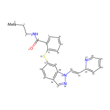 CNCCNC(=O)c1ccccc1Sc1ccc2cnn(C=Cc3ccccn3)c2c1